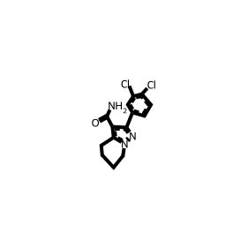 NC(=O)c1c(-c2ccc(Cl)c(Cl)c2)nn2c1CCCC2